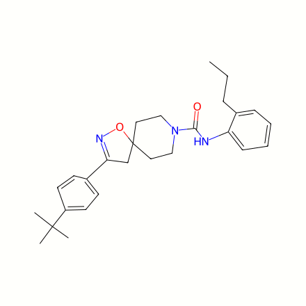 CCCc1ccccc1NC(=O)N1CCC2(CC1)CC(c1ccc(C(C)(C)C)cc1)=NO2